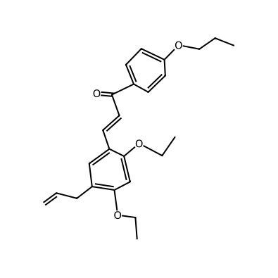 C=CCc1cc(C=CC(=O)c2ccc(OCCC)cc2)c(OCC)cc1OCC